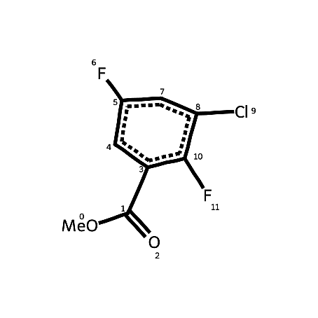 COC(=O)c1cc(F)cc(Cl)c1F